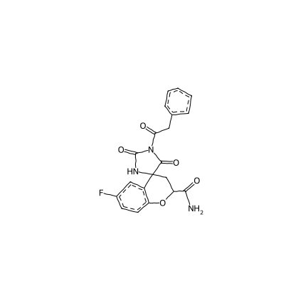 NC(=O)C1CC2(NC(=O)N(C(=O)Cc3ccccc3)C2=O)c2cc(F)ccc2O1